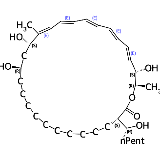 CCCCC[C@@H](O)[C@@H]1CCCCCCCCCC[C@@H](O)C[C@H](O)/C(C)=C/C=C/C=C/C=C/C=C/[C@H](O)[C@@H](C)OC1=O